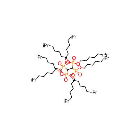 CC(C)CCCCCOP(=O)(OCCCCCC(C)C)C(C(P(=O)(OCCCCCC(C)C)OCCCCCC(C)C)P(=O)(OCCCCCC(C)C)OCCCCCC(C)C)P(=O)(OCCCCCC(C)C)OCCCCCC(C)C